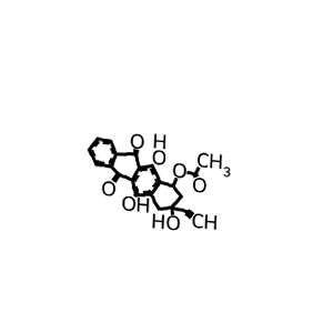 C#CC1(O)Cc2c(O)c3c(c(O)c2C(OC(C)=O)C1)C(=O)c1ccccc1C3=O